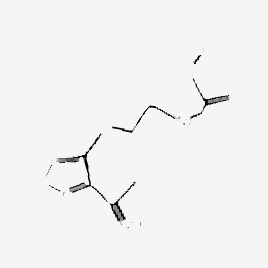 CC(C)(C)OC(=O)NCCSc1nonc1C(=N)Cl